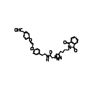 O=Cc1ccc(OC=COc2ccc(CCNC(=O)Cn3cc(CCCCN4C(=O)c5ccccc5C4=O)nn3)cc2)cc1